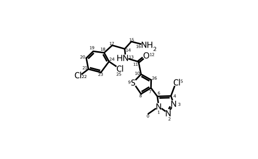 Cn1nnc(Cl)c1-c1csc(C(=O)NC(CN)Cc2ccc(Cl)cc2Cl)c1